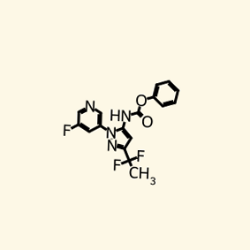 CC(F)(F)c1cc(NC(=O)Oc2ccccc2)n(-c2cncc(F)c2)n1